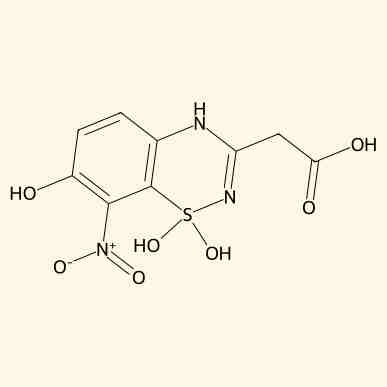 O=C(O)CC1=NS(O)(O)c2c(ccc(O)c2[N+](=O)[O-])N1